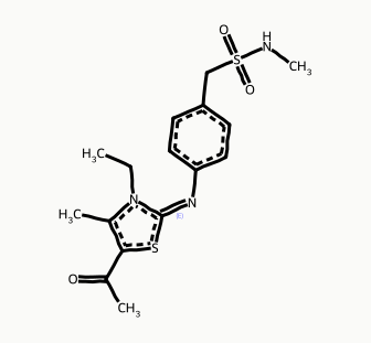 CCn1c(C)c(C(C)=O)s/c1=N/c1ccc(CS(=O)(=O)NC)cc1